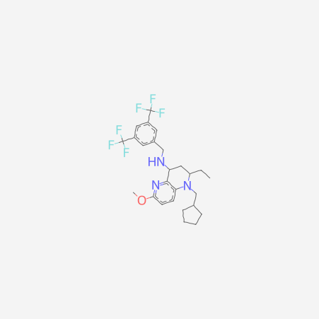 CCC1CC(NCc2cc(C(F)(F)F)cc(C(F)(F)F)c2)c2nc(OC)ccc2N1CC1CCCC1